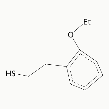 CCOc1ccccc1CCS